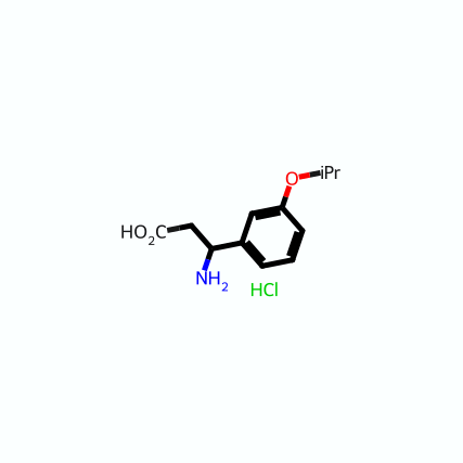 CC(C)Oc1cccc(C(N)CC(=O)O)c1.Cl